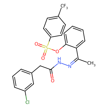 CC(=NNC(=O)Cc1cccc(Cl)c1)c1ccccc1OS(=O)(=O)c1ccc(C(F)(F)F)cc1